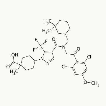 COc1cc(Cl)c(C(=O)CN(CC2CCCC(C)(C)C2)C(=O)c2cnn(C3CCC(C)(C(=O)O)CC3)c2C(F)(F)F)c(Cl)c1